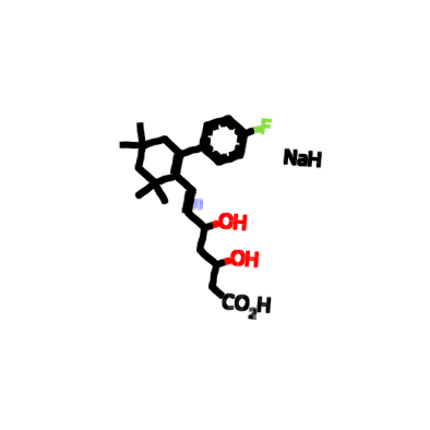 CC1(C)CC(c2ccc(F)cc2)=C(/C=C/C(O)CC(O)CC(=O)O)C(C)(C)C1.[NaH]